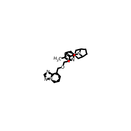 Cc1ccc(N2C3CCC2CN(C(=O)CCOCc2cccn4ncnc24)C3)nn1